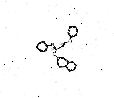 C(=C\C(=N\c1ccccc1)Oc1ccc2ccccc2c1)/Oc1ccccc1